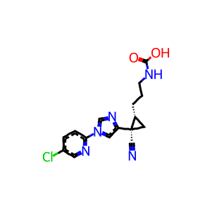 N#C[C@@]1(c2cn(-c3ccc(Cl)cn3)cn2)C[C@H]1CCCNC(=O)O